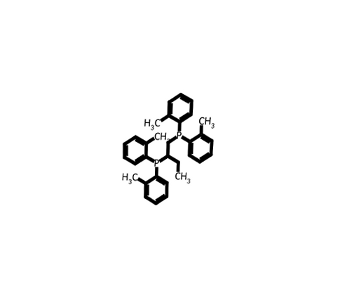 CCC(CP(c1ccccc1C)c1ccccc1C)P(c1ccccc1C)c1ccccc1C